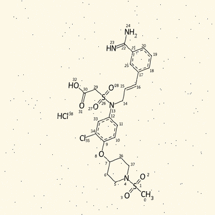 CS(=O)(=O)N1CCC(Oc2ccc(N(C/C=C/c3cccc(C(=N)N)c3)S(=O)(=O)CC(=O)O)cc2Cl)CC1.Cl